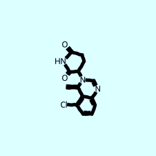 C=C1c2c(Cl)cccc2N=CN1C1CCC(=O)NC1=O